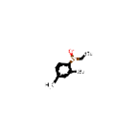 Cc1ccc([S+]([O-])CC(C)(C)C)c(C(C)(C)C)c1